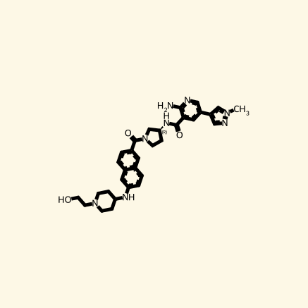 Cn1cc(-c2cnc(N)c(C(=O)N[C@@H]3CCN(C(=O)c4ccc5cc(NC6CCN(CCO)CC6)ccc5c4)C3)c2)cn1